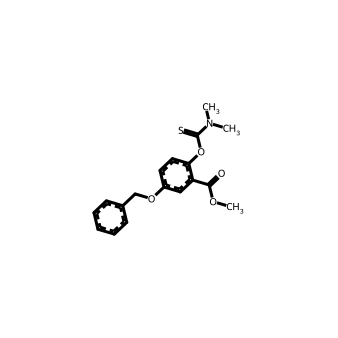 COC(=O)c1cc(OCc2ccccc2)ccc1OC(=S)N(C)C